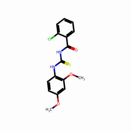 COc1ccc(NC(=S)NC(=O)c2ccccc2Cl)c(OC)c1